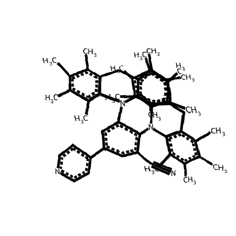 Cc1c(C)c(C)c2c(c1C)Cc1c(C)c(C)c(C)c(C)c1N2c1cc(-c2ccncc2)cc(C#N)c1N1c2c(C)c(C)c(C)c(C)c2Cc2c(C)c(C)c(C)c(C)c21